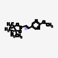 COc1ncc(/C=C/B2OC(C)(C)C(C)(C)O2)cn1